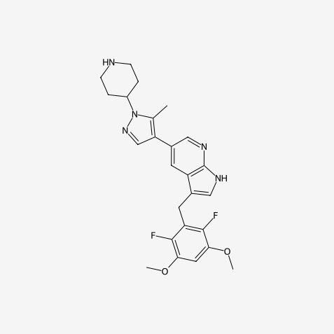 COc1cc(OC)c(F)c(Cc2c[nH]c3ncc(-c4cnn(C5CCNCC5)c4C)cc23)c1F